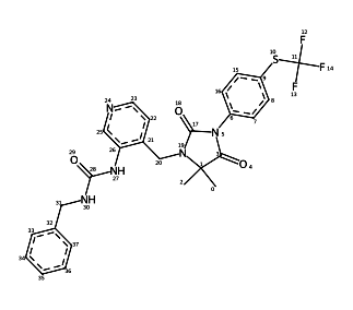 CC1(C)C(=O)N(c2ccc(SC(F)(F)F)cc2)C(=O)N1Cc1ccncc1NC(=O)NCc1ccccc1